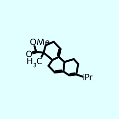 COC(=O)C1(C)CCC=C2C3CCC(C(C)C)=CC3=CCC21